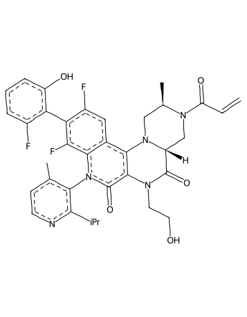 C=CC(=O)N1C[C@@H]2C(=O)N(CCO)c3c(c4cc(F)c(-c5c(O)cccc5F)c(F)c4n(-c4c(C)ccnc4C(C)C)c3=O)N2C[C@H]1C